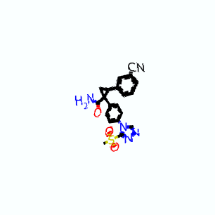 CS(=O)(=O)c1nncn1-c1ccc(C2(C(N)=O)CC2c2cccc(C#N)c2)cc1